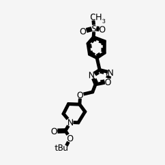 CC(C)(C)OC(=O)N1CCC(OCc2nc(-c3ccc(S(C)(=O)=O)cc3)no2)CC1